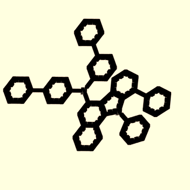 c1ccc(-c2ccc(N(c3cccc(-c4ccccc4)c3)c3cc4ccccc4c4c3c3cccc(-c5ccccc5)c3n4-c3ccccc3)cc2)cc1